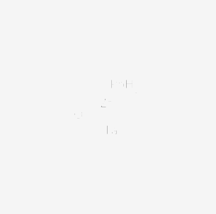 [O]=[Ta].[PbH2].[Zr]